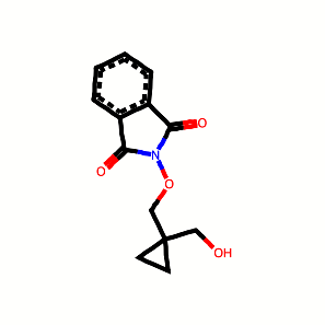 O=C1c2ccccc2C(=O)N1OCC1(CO)CC1